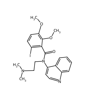 COc1ccc(I)c(C(=O)N(CCN(C)C)c2ccnc3ccccc23)c1OC